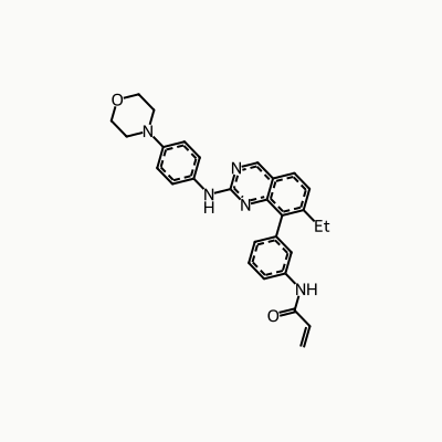 C=CC(=O)Nc1cccc(-c2c(CC)ccc3cnc(Nc4ccc(N5CCOCC5)cc4)nc23)c1